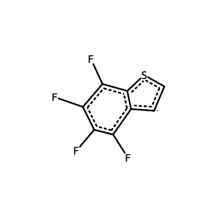 Fc1c(F)c(F)c2sc[c]c2c1F